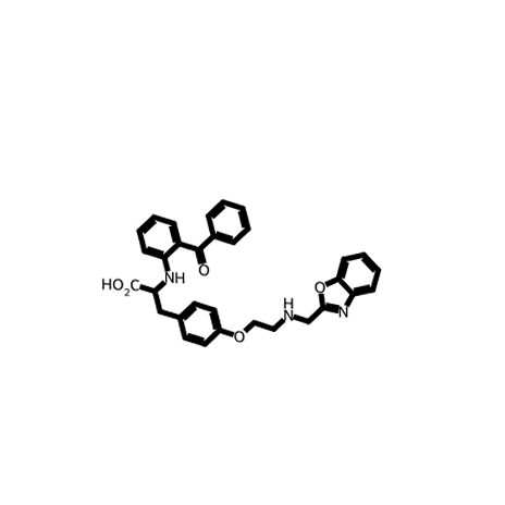 O=C(c1ccccc1)c1ccccc1NC(Cc1ccc(OCCNCc2nc3ccccc3o2)cc1)C(=O)O